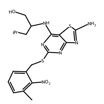 Cc1cccc(CSc2nc(NC(CO)CC(C)C)c3sc(N)nc3n2)c1[N+](=O)[O-]